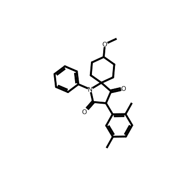 COC1CCC2(CC1)C(=O)C(c1cc(C)ccc1C)C(=O)N2c1ccccc1